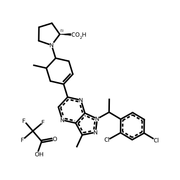 Cc1nn(C(C)c2ccc(Cl)cc2Cl)c2nc(C3=CCC(N4CCC[C@H]4C(=O)O)C(C)C3)cnc12.O=C(O)C(F)(F)F